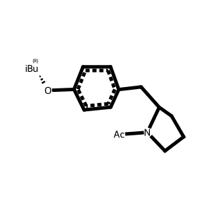 CC[C@@H](C)Oc1ccc(CC2CCCN2C(C)=O)cc1